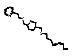 C=C/C=C\C=C/CCCSCC1CCC(CSCCc2ccccn2)SC1